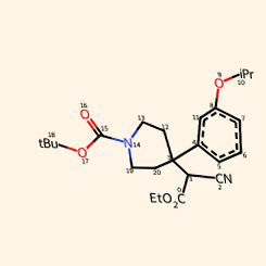 CCOC(=O)C(C#N)C1(c2cccc(OC(C)C)c2)CCN(C(=O)OC(C)(C)C)CC1